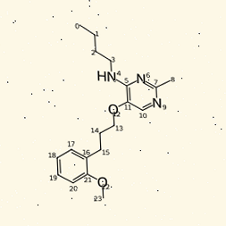 CCCCNc1nc(C)ncc1OCCCc1ccccc1OC